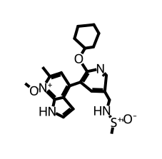 CO[n+]1c(C)cc(-c2cc(CN[S+](C)[O-])cnc2OC2CCCCC2)c2cc[nH]c21